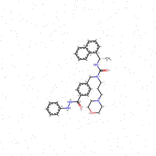 C[C@H](NC(=O)N(CCCN1CCOCC1)Cc1ccc(C(=O)NNc2ccccc2)cc1)c1cccc2ccccc12